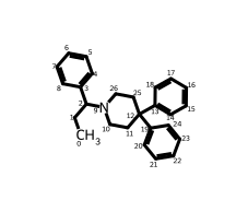 CCC(c1ccccc1)N1CCC(c2ccccc2)(c2ccccc2)CC1